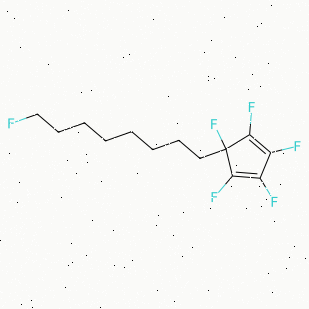 FCCCCCCCCC1(F)C(F)=C(F)C(F)=C1F